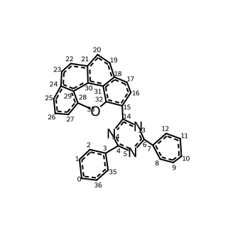 c1ccc(-c2nc(-c3ccccc3)nc(-c3ccc4ccc5ccc6cccc7c6c5c4c3O7)n2)cc1